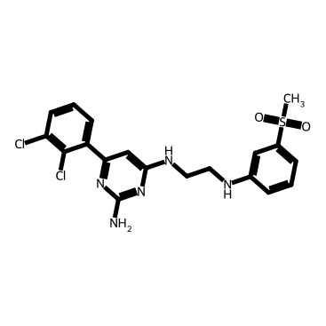 CS(=O)(=O)c1cccc(NCCNc2cc(-c3cccc(Cl)c3Cl)nc(N)n2)c1